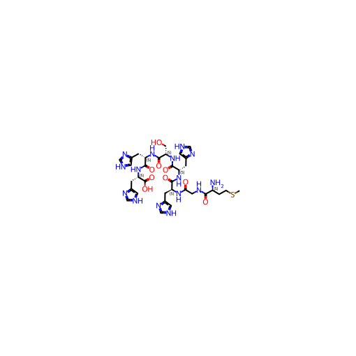 CSCC[C@H](N)C(=O)NCC(=O)N[C@@H](Cc1c[nH]cn1)C(=O)N[C@@H](Cc1c[nH]cn1)C(=O)N[C@@H](CO)C(=O)N[C@@H](Cc1c[nH]cn1)C(=O)N[C@@H](Cc1c[nH]cn1)C(=O)O